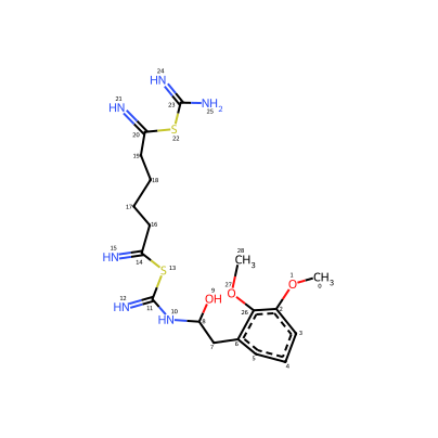 COc1cccc(CC(O)NC(=N)SC(=N)CCCCC(=N)SC(=N)N)c1OC